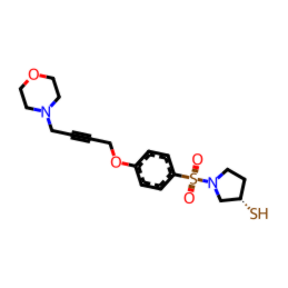 O=S(=O)(c1ccc(OCC#CCN2CCOCC2)cc1)N1CC[C@H](S)C1